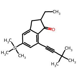 CCC1Cc2cc([Si](C)(C)C)cc(C#CC(C)(C)C)c2C1=O